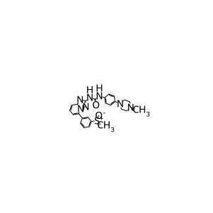 CN1CCN(c2ccc(NC(=O)Nc3nc4cccc(-c5cccc([S+](C)[O-])c5)n4n3)cc2)CC1